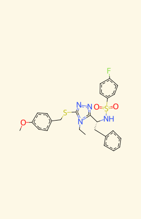 CCn1c(SCc2ccc(OC)cc2)nnc1[C@@H](Cc1ccccc1)NS(=O)(=O)c1ccc(F)cc1